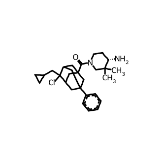 CC1(C)CN(C(=O)C23CC4CC(c5ccccc5)(CC(C2)C4(Cl)CC2CC2)C3)CC[C@@H]1N